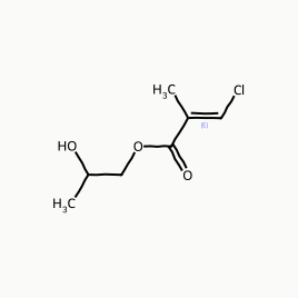 C/C(=C\Cl)C(=O)OCC(C)O